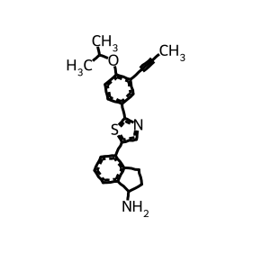 CC#Cc1cc(-c2ncc(-c3cccc4c3CCC4N)s2)ccc1OC(C)C